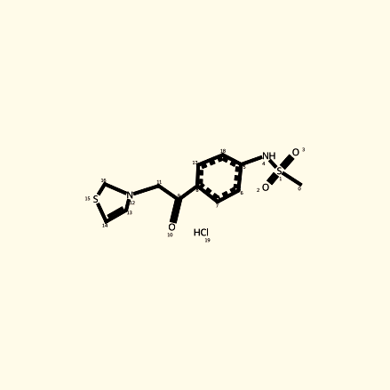 CS(=O)(=O)Nc1ccc(C(=O)CN2C=CSC2)cc1.Cl